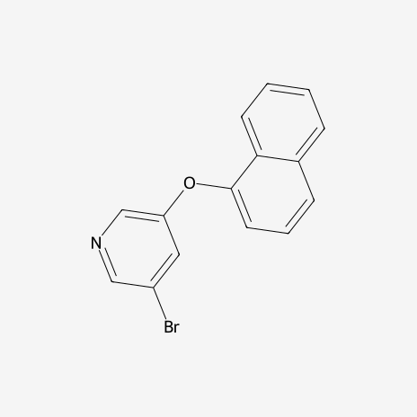 Brc1cncc(Oc2cccc3ccccc23)c1